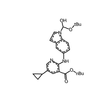 CCCCOC(=O)c1cc(C2CC2)cnc1Nc1ccc2c(ccn2C(O)OC(C)(C)C)c1